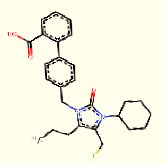 CCCc1c(CF)n(C2CCCCC2)c(=O)n1Cc1ccc(-c2ccccc2C(=O)O)cc1